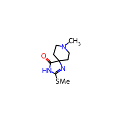 CSC1=NC2(CCN(C)CC2)C(=O)N1